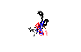 C[C@@H](C(=O)NC1CSc2ccccc2N(CCCCc2ccccc2)C1=O)N(C)C(=O)O